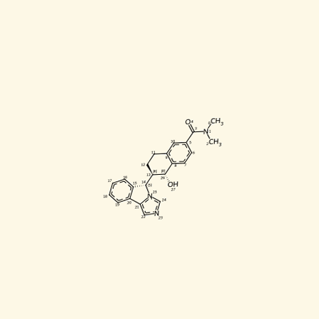 CN(C)C(=O)c1ccc2c(c1)CC[C@H]([C@H]1c3ccccc3-c3cncn31)[C@H]2O